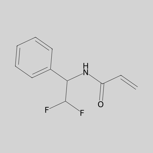 C=CC(=O)NC(c1ccccc1)C(F)F